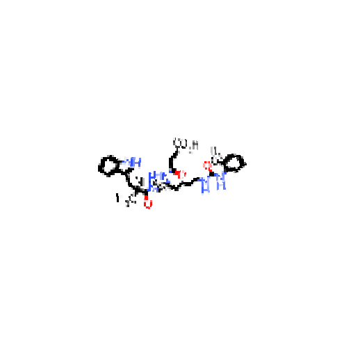 CC(=O)NC(C)(Cc1c[nH]c2ccccc12)C(=O)NC[C@@H](CCCCNC(=O)Nc1ccccc1C)NC(=O)CCC(=O)O